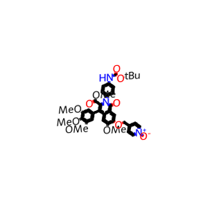 COC(=O)c1c(-c2cc(OC)c(OC)c(OC)c2)c2cc(OC)c(OCc3cc[n+]([O-])cc3)cc2c(=O)n1-c1ccc(NC(=O)OC(C)(C)C)cc1